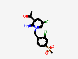 CC(=O)c1cc(Cl)cn(Cc2ccc(S(C)(=O)=O)cc2Cl)c1=N